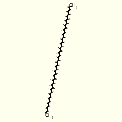 CCCCCCCCCCCCCCCCCCCCCCCCCCCCCCCCCCCCCCCCCCCCCCCCC